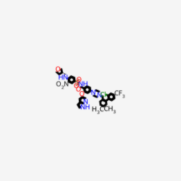 CC1(C)CCC(CN2CCN(c3ccc(C(=O)NS(=O)(=O)c4ccc(NC[C@@H]5CCOC5)c([N+](=O)[O-])c4)c(Oc4cnc5[nH]ccc5c4)c3)CC2)=C(c2ccc(C(F)(F)F)cc2Cl)C1